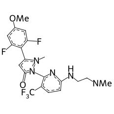 CNCCNc1ccc(C(F)(F)F)c(-n2c(=O)cc(-c3c(F)cc(OC)cc3F)n2C)n1